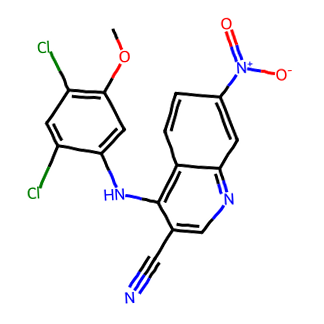 COc1cc(Nc2c(C#N)cnc3cc([N+](=O)[O-])ccc23)c(Cl)cc1Cl